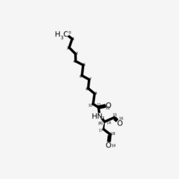 CCCCCCCCCCCC(=O)N[C@@H]([C]=O)C[C]=O